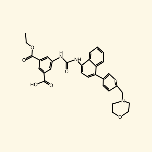 CCOC(=O)c1cc(NC(=O)Nc2ccc(-c3ccc(CN4CCOCC4)nc3)c3ccccc23)cc(C(=O)O)c1